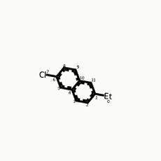 CCc1ccc2cc(Cl)ccc2c1